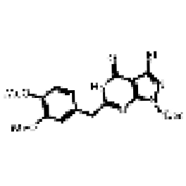 CCCCCCCCCCn1nc(CC)c2c(=O)[nH]c(Cc3ccc(OC)c(OC)c3)nc21